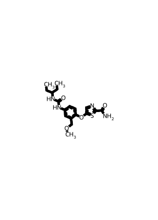 CCC(CC)NC(=O)Nc1ccc(Oc2cnc(C(N)=O)s2)c(COC)c1